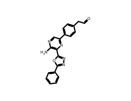 Nc1ncc(-c2ccc(CC=O)cc2)nc1-c1nnc(-c2ccccc2)o1